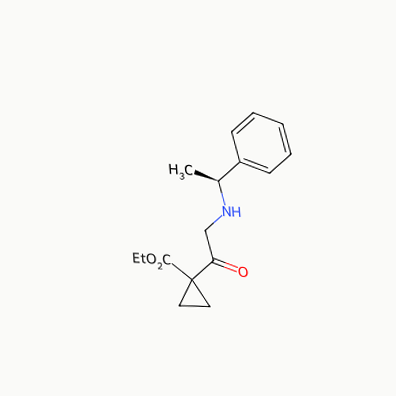 CCOC(=O)C1(C(=O)CN[C@@H](C)c2ccccc2)CC1